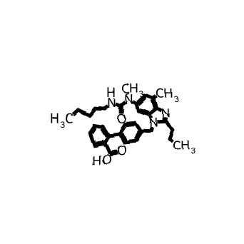 CCCCCNC(=O)N(C)c1cc(C)c2nc(CCC)n(Cc3ccc(-c4ccccc4C(=O)O)cc3)c2c1